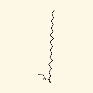 C=C(CCCCCCCCCCCCCCCCCCC)NCC